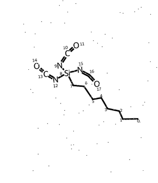 CCCCCCCC[Si](N=C=O)(N=C=O)N=C=O